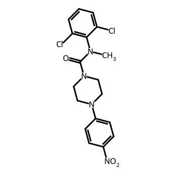 CN(C(=O)N1CCN(c2ccc([N+](=O)[O-])cc2)CC1)c1c(Cl)cccc1Cl